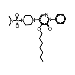 CCCCCCCOc1c(N2CCN(S(=O)(=O)N(C)C)CC2)cnn(-c2ccccc2)c1=O